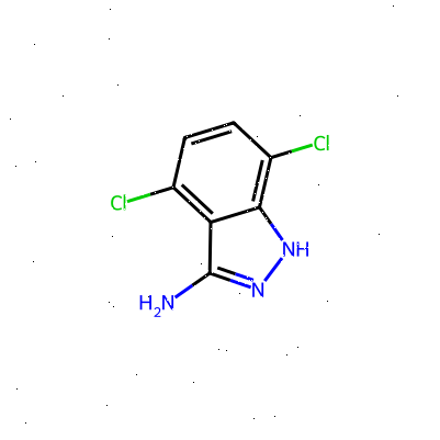 Nc1n[nH]c2c(Cl)ccc(Cl)c12